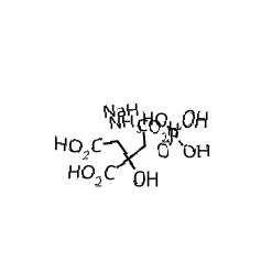 N.O=C(O)CC(O)(CC(=O)O)C(=O)O.O=P(O)(O)O.[NaH]